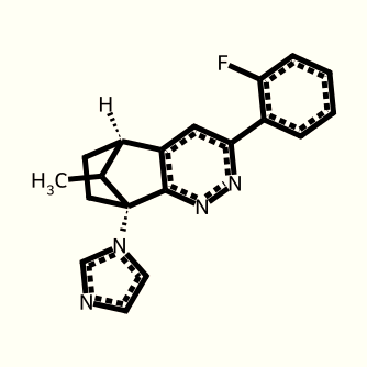 CC1[C@H]2CC[C@]1(n1ccnc1)c1nnc(-c3ccccc3F)cc12